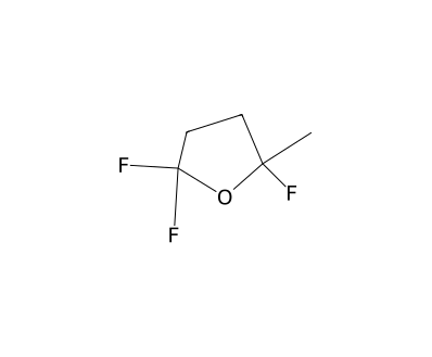 CC1(F)CCC(F)(F)O1